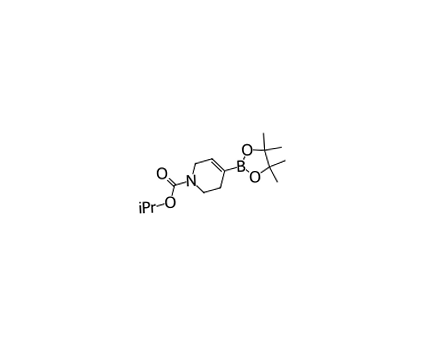 CC(C)OC(=O)N1CC=C(B2OC(C)(C)C(C)(C)O2)CC1